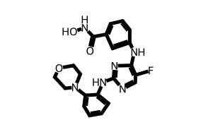 O=C(NO)c1cccc(Nc2nc(Nc3ccccc3N3CCOCC3)ncc2F)c1